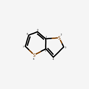 [C]1=C2SCC=C2SC=C1